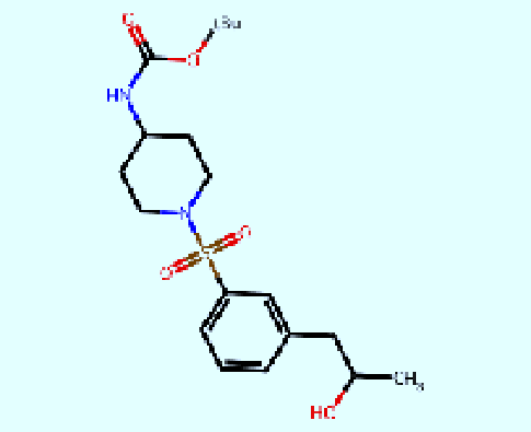 CC(O)Cc1cccc(S(=O)(=O)N2CCC(NC(=O)OC(C)(C)C)CC2)c1